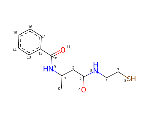 CC(CC(=O)NCCS)NC(=O)c1ccccc1